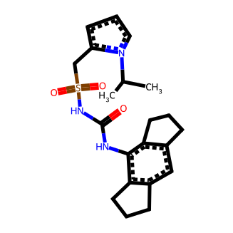 CC(C)n1cccc1CS(=O)(=O)NC(=O)Nc1c2c(cc3c1CCC3)CCC2